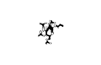 C=CCO[C@@H]1OC(COC(C)=O)[C@@H](OC(C)=O)[C@H](OC(C)=O)C1NC(C)=O